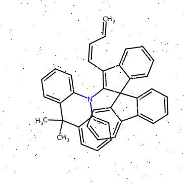 C=C/C=C\C1=C(N2c3ccccc3C(C)(C)c3ccccc32)C2(c3ccccc31)c1ccccc1-c1ccccc12